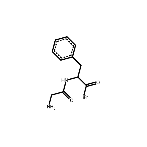 CC(C)C(=O)C(Cc1ccccc1)NC(=O)CN